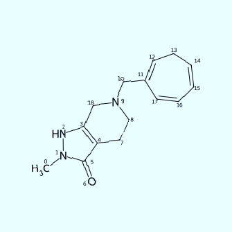 Cn1[nH]c2c(c1=O)CCN(CC1=CCC=CC=C1)C2